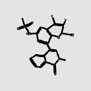 CCC1Oc2c(cc(NS(C)(=O)=O)cc2-c2cn(C)c(=O)c3ccccc23)C(F)=C1F